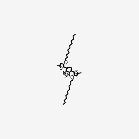 CCCCCCCCCCCCOc1cc(C)sc1-c1ccc(-c2sc(C)cc2OCCCCCCCCCCCC)c2nsnc12